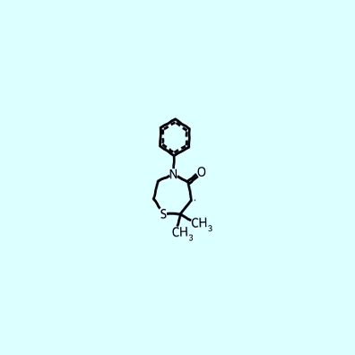 CC1(C)[CH]C(=O)N(c2ccccc2)CCS1